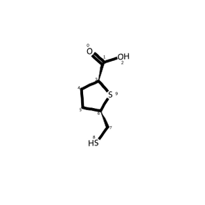 O=C(O)[C@@H]1CC[C@H](CS)S1